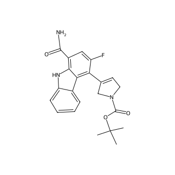 CC(C)(C)OC(=O)N1CC=C(c2c(F)cc(C(N)=O)c3[nH]c4ccccc4c23)C1